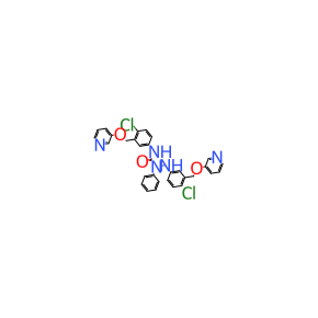 O=C(Nc1ccc(Cl)c(COc2cccnc2)c1)N(Nc1ccc(Cl)c(COc2cccnc2)c1)c1ccccc1